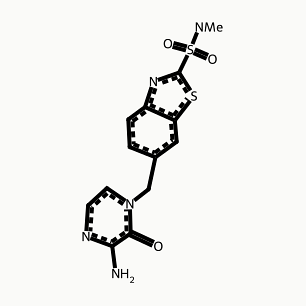 CNS(=O)(=O)c1nc2ccc(Cn3ccnc(N)c3=O)cc2s1